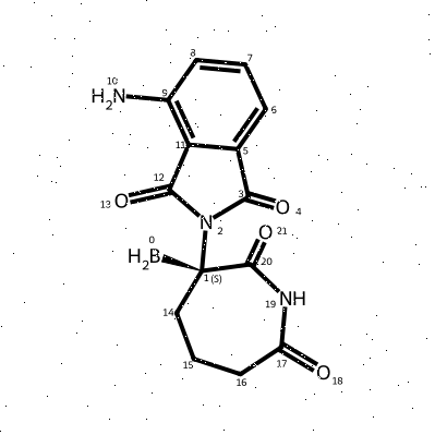 B[C@]1(N2C(=O)c3cccc(N)c3C2=O)CCCC(=O)NC1=O